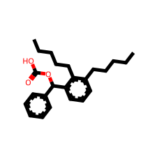 CCCCCc1cccc(C(OC(=O)O)c2ccccc2)c1CCCCC